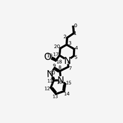 CCCC1CCN(Cc2cnc3ccccn23)C(C=O)C1